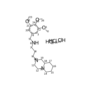 COc1cc(CNCCCN2CCN3CCCCC3C2)cc(OC)c1OC.Cl.Cl.Cl